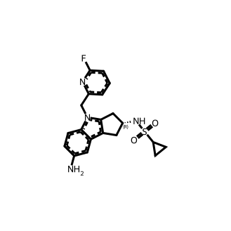 Nc1ccc2c(c1)c1c(n2Cc2cccc(F)n2)C[C@H](NS(=O)(=O)C2CC2)C1